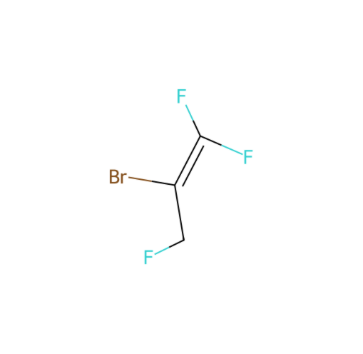 FCC(Br)=C(F)F